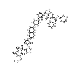 COC(=O)N[C@H](C(=O)N1CCC[C@H]1c1ncc(-c2ccc3cc(-c4ccc(-c5cnc(C6CCCN6C(=O)[C@H](NC(=O)CC6CCOCC6)c6ccccc6)[nH]5)cc4)ccc3c2)[nH]1)C(C)C